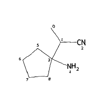 CC(C#N)C1(N)CCCC1